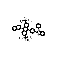 CC(C)(C)c1ccc2c(-c3ccc4ccccc4c3)c3cc(C(C)(C)C)ccc3c(-c3ccc(-c4nc5ccccc5n4-c4ccccc4)cc3)c2c1